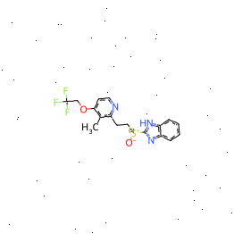 Cc1c(OCC(F)(F)F)ccnc1CC[S@@+]([O-])c1nc2ccccc2[nH]1